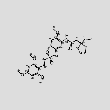 CC[N+](CC)(CC)CC(=O)Nc1cc(CS(=O)(=O)/C=C/c2c(OC)cc(OC)cc2OC)ccc1OC